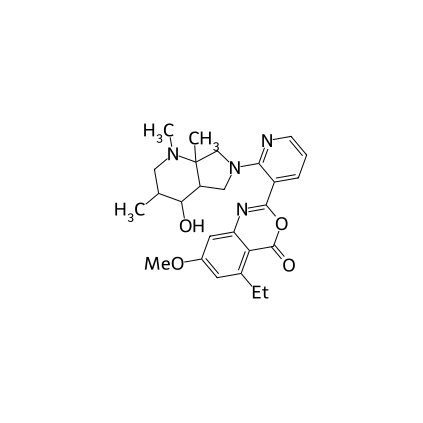 CCc1cc(OC)cc2nc(-c3cccnc3N3CC4C(O)C(C)CN(C)C4(C)C3)oc(=O)c12